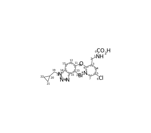 O=C(O)NCc1cc(Cl)cnc1Oc1ccc2c(nnn2CC2CC2)c1Br